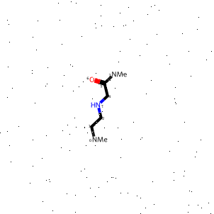 CNCCNCC(=O)NC